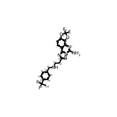 Nc1nc2c3c(ccc2c2nc(CCNCc4ccc(C(F)(F)I)cc4)nn12)OC(F)(F)O3